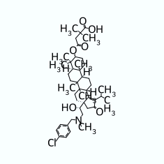 CC(C)C1=C2[C@H]3CC[C@@H]4[C@@]5(C)CC[C@H](OC(=O)CC(C)(C)C(=O)O)C(C)(C)[C@@H]5CC[C@@]4(C)C3(C)CC[C@@]2([C@@H](O)CN(C)Cc2ccc(Cl)cc2)CC1=O